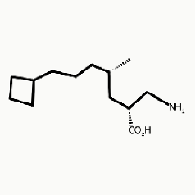 C[C@@H](CCCC1CCC1)C[C@H](CN)C(=O)O